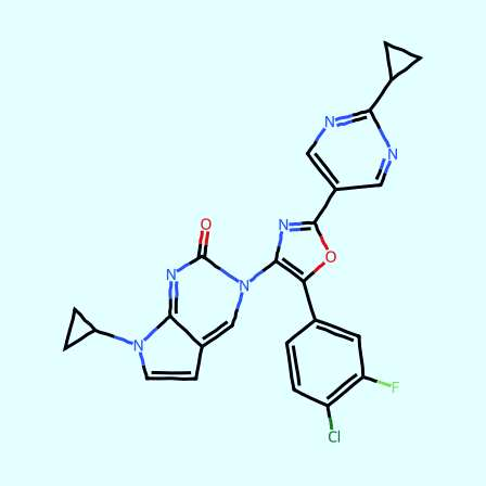 O=c1nc2c(ccn2C2CC2)cn1-c1nc(-c2cnc(C3CC3)nc2)oc1-c1ccc(Cl)c(F)c1